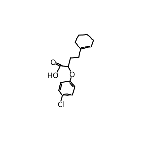 O=C(O)C(CCC1=CCCCC1)Oc1ccc(Cl)cc1